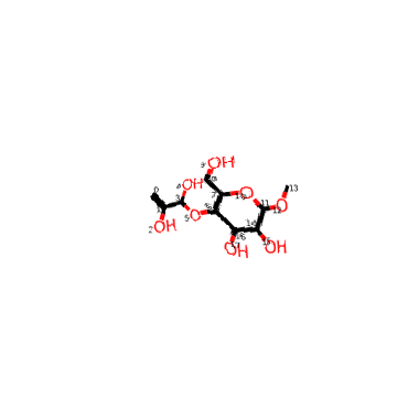 C=C(O)C(O)OC1C(CO)OC(OC)C(O)C1O